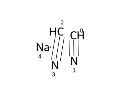 C#N.C#N.[Na]